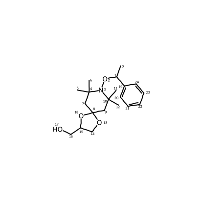 CC(ON1C(C)(C)CC2(CC1(C)C)OCC(CO)O2)c1ccccc1